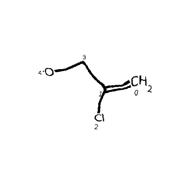 C=C(Cl)C[O]